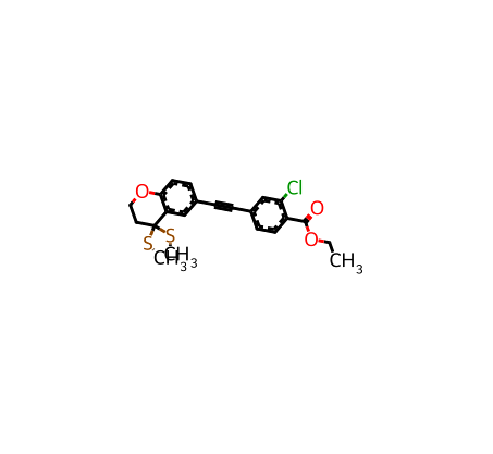 CCOC(=O)c1ccc(C#Cc2ccc3c(c2)C(SC)(SC)CCO3)cc1Cl